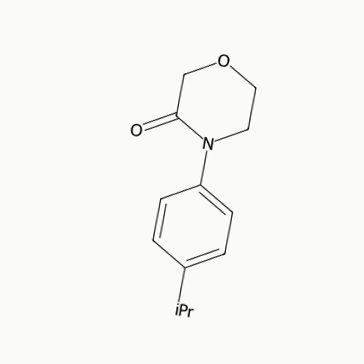 CC(C)c1ccc(N2CCOCC2=O)cc1